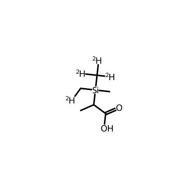 [2H]C[Si](C)(C(C)C(=O)O)C([2H])([2H])[2H]